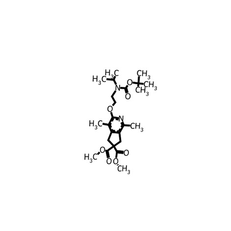 COC(=O)C1(C(=O)OC)Cc2c(C)nc(OCCN(C(=O)OC(C)(C)C)C(C)C)c(C)c2C1